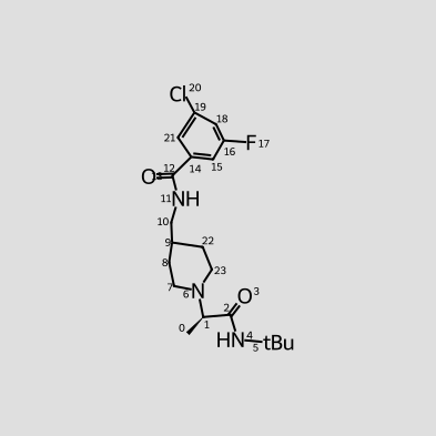 C[C@H](C(=O)NC(C)(C)C)N1CCC(CNC(=O)c2cc(F)cc(Cl)c2)CC1